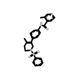 CC1=C(c2ccc(NC(=O)c3ccncc3C)cc2)CN(S(=O)(=O)c2ccccc2)CC1